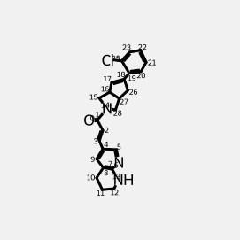 O=C(/C=C/c1cnc2c(c1)CCCN2)N1CC2C=C(c3ccccc3Cl)CC2C1